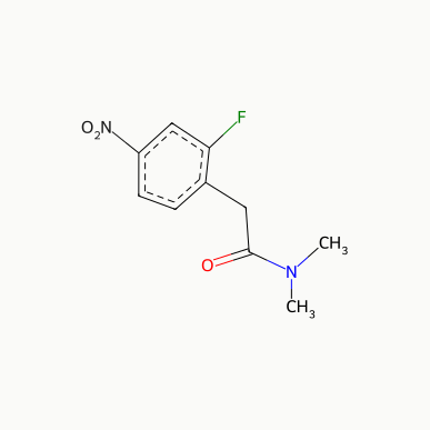 CN(C)C(=O)Cc1ccc([N+](=O)[O-])cc1F